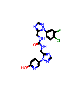 O=C(NCc1ncnn1-c1ccc(O)nc1)NCc1ncnn1-c1ccc(Cl)c(F)c1